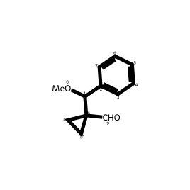 COC(c1ccccc1)C1(C=O)CC1